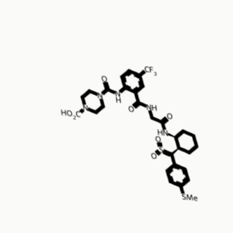 CSc1ccc(C([C@@H]2CCCC[C@@H]2NC(=O)CNC(=O)c2cc(C(F)(F)F)ccc2NC(=O)N2CCN(C(=O)O)CC2)=S(=O)=O)cc1